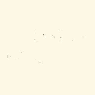 COc1cc(Cc2csc(N3CCN(S(=O)(=O)c4ccc(C)cc4)CC3)n2)cc(OC)c1